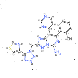 N#Cc1ccccc1-c1nc(N)n2nc(Cn3nnnc3-c3cscn3)nc2c1-c1ccncn1